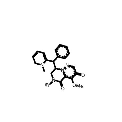 COc1c2n(ncc1=O)C(C(C1=CC=CCN1C)c1ccccc1)CN(C(C)C)C2=O